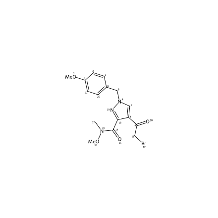 COc1ccc(Cn2cc(C(=O)CBr)c(C(=O)N(C)OC)n2)cc1